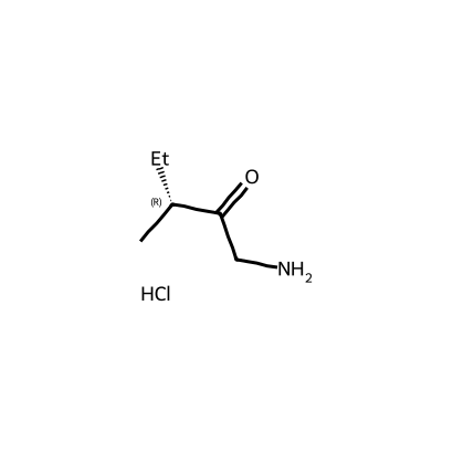 CC[C@@H](C)C(=O)CN.Cl